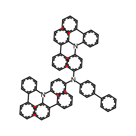 c1ccc(-c2ccc(N(c3ccc(N(c4ccccc4-c4ccccc4)c4ccccc4-c4ccccc4)cc3)c3ccc(N(c4ccccc4-c4ccccc4)c4ccccc4-c4ccccc4)cc3)cc2)cc1